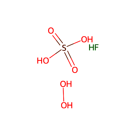 F.O=S(=O)(O)O.OO